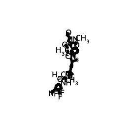 CNC(=O)C(CCC=O)N(C=O)c1cccc(N2CC(C#Cc3cnn(C(C)(C)C(=O)Nc4ccc(C#N)c(C(F)(F)F)c4)c3)C2)c1N(C)C